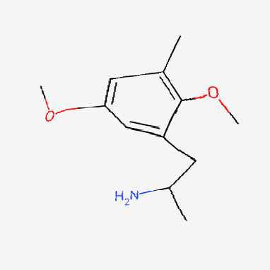 COc1cc(C)c(OC)c(CC(C)N)c1